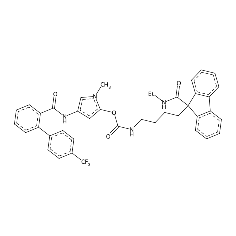 CCNC(=O)C1(CCCCNC(=O)Oc2cc(NC(=O)c3ccccc3-c3ccc(C(F)(F)F)cc3)cn2C)c2ccccc2-c2ccccc21